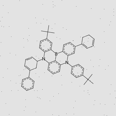 CC(C)(C)c1ccc(N2c3cc(C4=CC=CCC4)ccc3B3c4cc(C(C)(C)C)ccc4N(C4C=CC=C(c5ccccc5)C4)c4cccc2c43)cc1